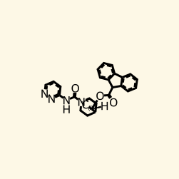 O=C(O[C@H]1C[N+]2(C(=O)Nc3cccnn3)CCC1CC2)C1c2ccccc2-c2ccccc21